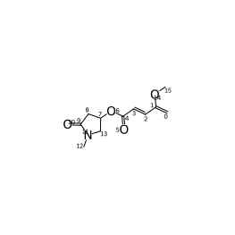 C=C(/C=C/C(=O)OC1CC(=O)N(C)C1)OC